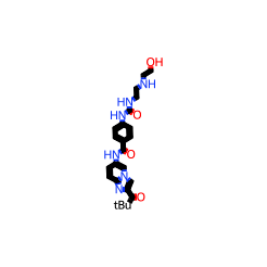 CC(C)(C)C(=O)c1cn2cc(NC(=O)c3ccc(NC(=O)NCCNCCO)cc3)ccc2n1